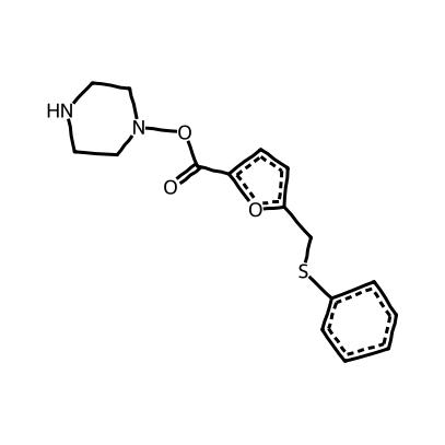 O=C(ON1CCNCC1)c1ccc(CSc2ccccc2)o1